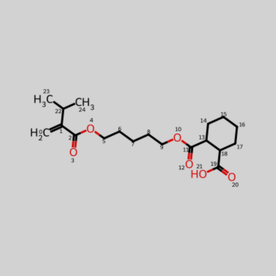 C=C(C(=O)OCCCCCOC(=O)C1CCCCC1C(=O)O)C(C)C